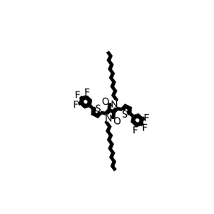 CCCCCCCCCCCCN1C(=O)C2=C(c3ccc(-c4cc(F)c(F)c(F)c4)s3)N(CCCCCCCCCCCC)C(=O)C2=C1c1ccc(-c2cc(F)c(F)c(F)c2)s1